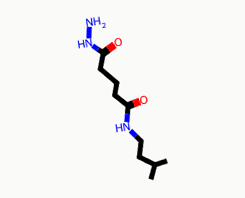 CC(C)CCNC(=O)CCCC(=O)NN